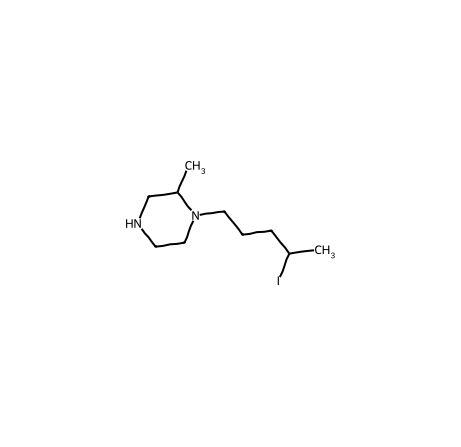 CC(I)CCCN1CCNCC1C